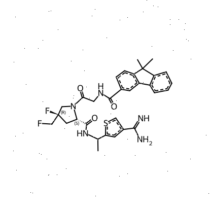 CC(NC(=O)[C@@H]1C[C@](F)(CF)CN1C(=O)CNC(=O)c1ccc2c(c1)-c1ccccc1C2(C)C)c1cc(C(=N)N)cs1